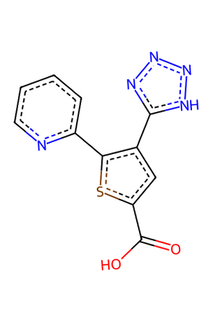 O=C(O)c1cc(-c2nnn[nH]2)c(-c2ccccn2)s1